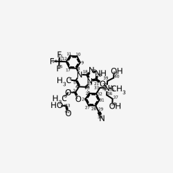 COC(=O)C1=C(C)N(c2cccc(C(F)(F)F)c2)c2n[nH]c(=O)n2[C@@H]1c1ccc(C#N)cc1C[N+](C)(CCO)CCO.O=CO